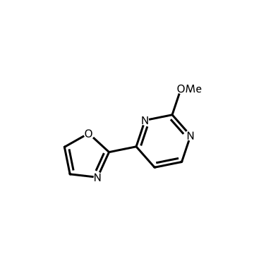 COc1nccc(-c2ncco2)n1